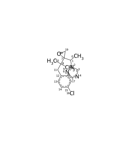 CC(n1cncn1)C1(C(C)(C)Cc2ccc(Cl)cc2)CO1